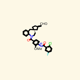 COc1cc(C(=O)N2CC[C@@]3(CC/C(=C\C=O)C3)Cc3ccccc32)ccc1NC(=O)c1cc(F)ccc1Cl